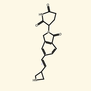 O=C1CCC(N2Cc3cc(/C=C/C4CNC4)ccc3C2=O)C(=O)N1